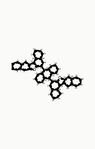 c1ccc2cc3c(cc2c1)oc1c(-c2c4ccccc4c(-c4cc5ccccc5c5c4oc4cc6ccccc6cc45)c4ccccc24)cc2ccccc2c13